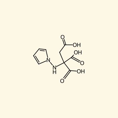 O=C(O)CC(Nn1cccc1)(C(=O)O)C(=O)O